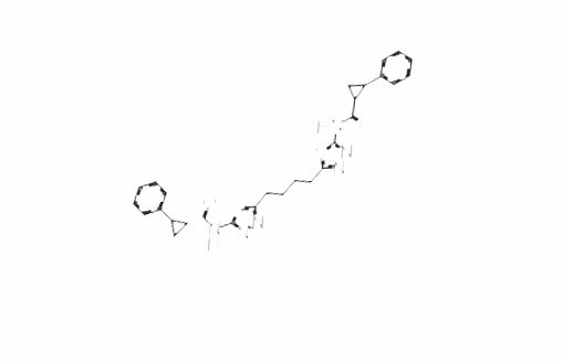 O=C(Nc1nnc(CCCCc2nnc(NC(=O)[C@@H]3CC3c3ccccc3)s2)s1)C1CC1c1ccccc1